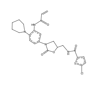 C=CC(=O)Nc1cc(N2CC(CNC(=O)c3ccc(Cl)s3)OC2=O)ccc1N1CCCCC1